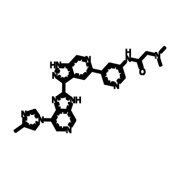 Cc1cn(-c2cncc3[nH]c(-c4n[nH]c5cnc(-c6cncc(NC(=O)CN(C)C)c6)cc45)nc23)cn1